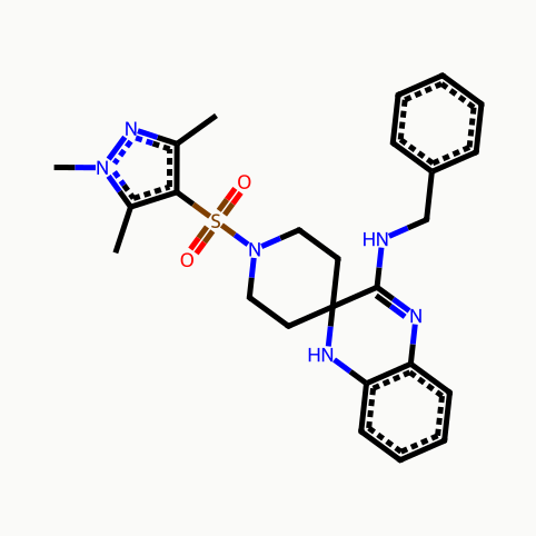 Cc1nn(C)c(C)c1S(=O)(=O)N1CCC2(CC1)Nc1ccccc1N=C2NCc1ccccc1